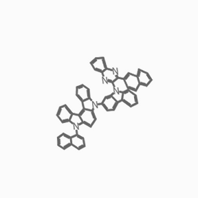 c1ccc2cc(-c3nc4ccccc4nc3-n3c4ccccc4c4ccc(-n5c6ccccc6c6c7c8ccccc8n(-c8cccc9ccccc89)c7ccc65)cc43)ccc2c1